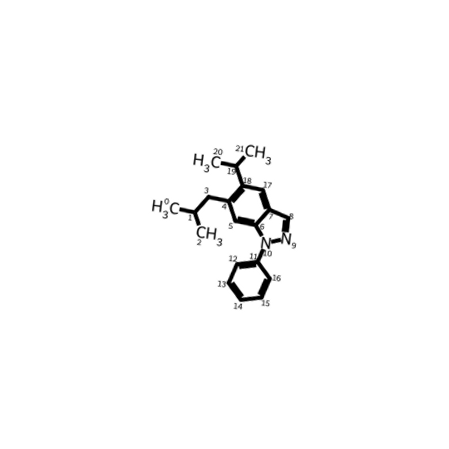 CC(C)Cc1cc2c(cnn2-c2ccccc2)cc1C(C)C